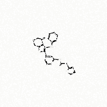 O=C(Cc1ccc[nH]1)Nc1cc(-c2[nH]c3c(c2Nc2ccccc2)C(=O)CCC3)ccn1